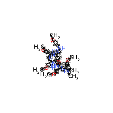 C=CCOc1ccc(CCNC2C=C/C(=C(C3=N/C(=C(C4=N/C(=C(/c5ccc(OCC=C)cc5)c5ccc(-c6ccc(/C(=C7/C=CC(C(=C(/C=C)NCCC)/c8ccc(OCC=C)cc8)=N7)c7ccc(OCC=C)cc7)[nH]6)[nH]5)C=C4)/c4ccc(OCC)cc4)C=C3)\c3ccc(OCC=C)cc3)N2)cc1